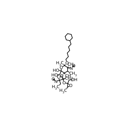 CCC(C)(N=O)C(C)(OC1(CO)OC1C)OC1(C)C(C)[C@](C)(N=O)C(C)(OCCCCCCC2CCCCC2)OC1(O)CO